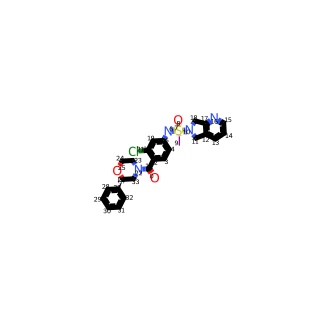 O=C(c1ccc(N=S(=O)(I)N2Cc3cccnc3C2)cc1Cl)N1CCO[C@@H](c2ccccc2)C1